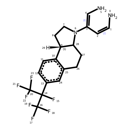 N/C=C\C(=C/N)N1CC[C@H]2c3ccc(C(F)(C(F)(F)F)C(F)(F)F)cc3CCC21